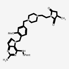 CCCCCNc1nc(N)nc2ccn(Cc3ccc(CN4CCN(CCN5C(=O)CC(C)C5=O)CC4)cc3OC)c12